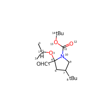 C[SiH](C)OC1(C=O)CC(C(C)(C)C)CN1C(=O)OC(C)(C)C